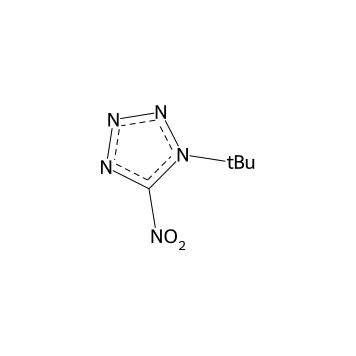 CC(C)(C)n1nnnc1[N+](=O)[O-]